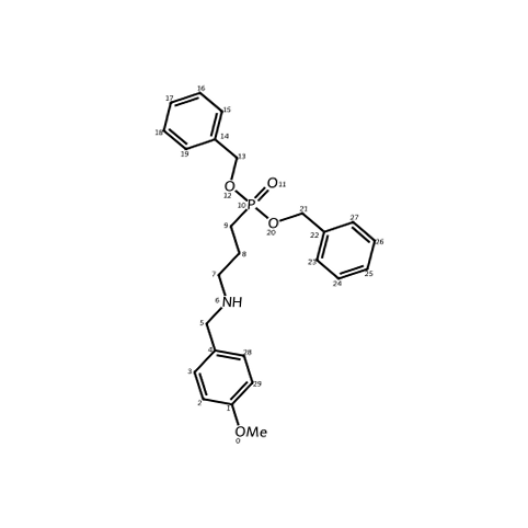 COc1ccc(CNCCCP(=O)(OCc2ccccc2)OCc2ccccc2)cc1